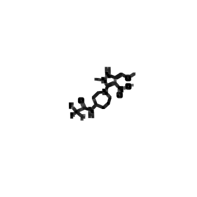 COC=C1NN(C)C(N2CCCC(NC(=O)C(F)(F)F)CC2)=C1[N+](=O)[O-]